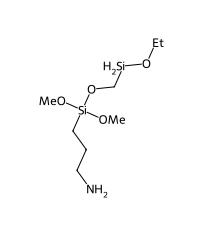 CCO[SiH2]CO[Si](CCCN)(OC)OC